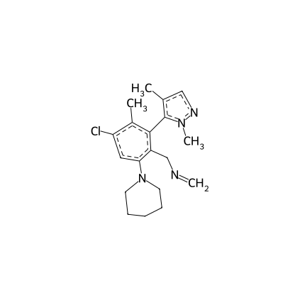 C=NCc1c(N2CCCCC2)cc(Cl)c(C)c1-c1c(C)cnn1C